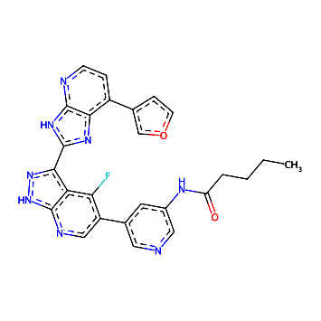 CCCCC(=O)Nc1cncc(-c2cnc3[nH]nc(-c4nc5c(-c6ccoc6)ccnc5[nH]4)c3c2F)c1